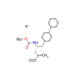 C=C(C[C@@H](Cc1ccc(-c2ccccc2)cc1)NC(=O)OC(C)(C)C)C(=O)[O-].[K+]